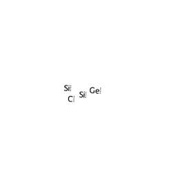 [C].[Ge].[Si].[Si]